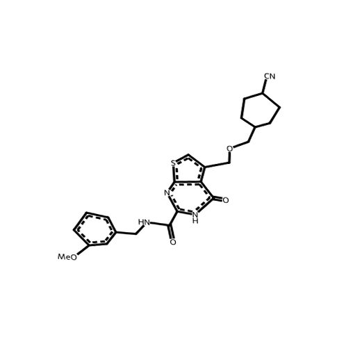 COc1cccc(CNC(=O)c2nc3scc(COCC4CCC(C#N)CC4)c3c(=O)[nH]2)c1